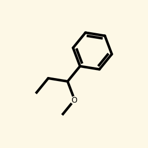 CC[C](OC)c1ccccc1